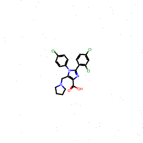 O=C(O)c1nc(-c2ccc(Cl)cc2Cl)n(-c2ccc(Cl)cc2)c1CN1CCCC1